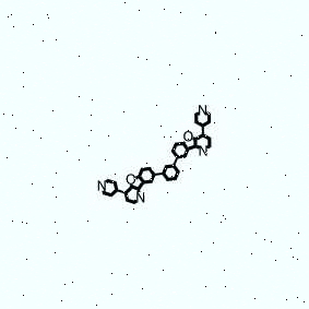 c1cc(-c2ccc3oc4c(-c5ccncc5)ccnc4c3c2)cc(-c2ccc3oc4c(-c5ccncc5)ccnc4c3c2)c1